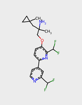 CC(N)(COc1ccc(-c2ccnc(C(F)F)c2)nc1C(F)F)CC1(C)CC1